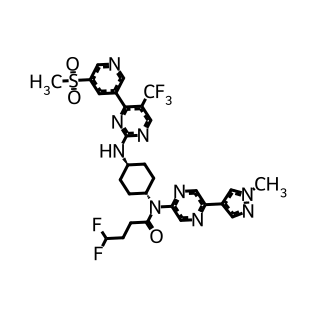 Cn1cc(-c2cnc(N(C(=O)CCC(F)F)[C@H]3CC[C@H](Nc4ncc(C(F)(F)F)c(-c5cncc(S(C)(=O)=O)c5)n4)CC3)cn2)cn1